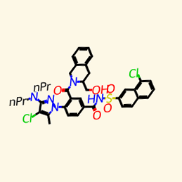 CCCN(CCC)c1nn(-c2ccc(C(=O)NS(=O)(=O)c3ccc4cccc(Cl)c4c3)cc2C(=O)N2Cc3ccccc3CC2CO)c(C)c1Cl